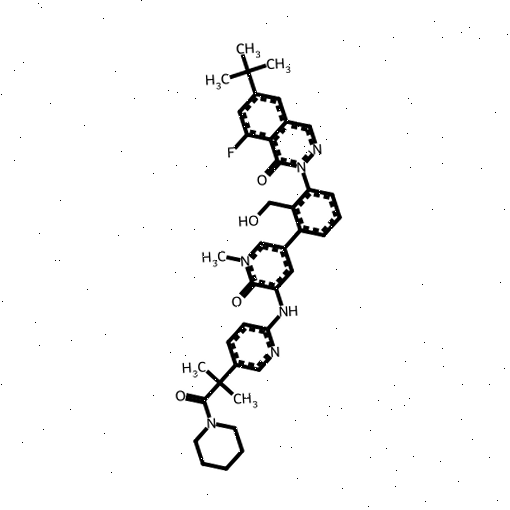 Cn1cc(-c2cccc(-n3ncc4cc(C(C)(C)C)cc(F)c4c3=O)c2CO)cc(Nc2ccc(C(C)(C)C(=O)N3CCCCC3)cn2)c1=O